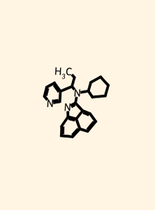 CCC(c1cccnc1)N(C1=Nc2cccc3cccc1c23)C1CCCCC1